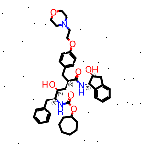 O=C(N[C@@H](Cc1ccccc1)[C@@H](O)C[C@@H](Cc1ccc(OCCN2CCOCC2)cc1)C(=O)N[C@H]1c2ccccc2C[C@H]1O)OC1CCCCCC1